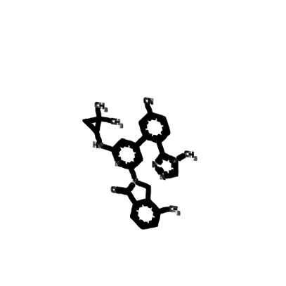 Cn1cnnc1-c1ccc(C#N)cc1-c1cc(NC2CC2(C)C)nc(N2Cc3c(cccc3C(F)(F)F)C2=O)c1